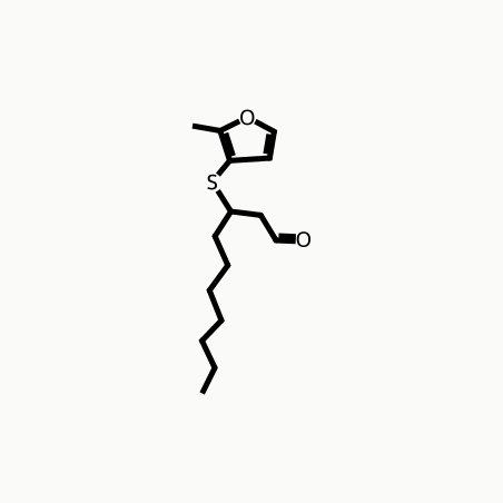 CCCCCCCC(CC=O)Sc1ccoc1C